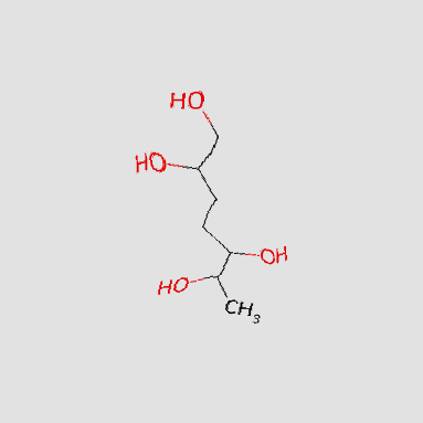 CC(O)C(O)CCC(O)CO